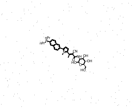 CCCN(CCC)c1ccc2cc(-c3ccc(/C(C)=C(\C#N)C(=O)N[C@H]4C(O)O[C@H](CO)[C@@H](O)[C@@H]4O)n3C)ccc2c1